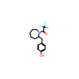 O=C(N1CCCCCC1Cc1ccc(O)cc1)C(F)(F)F